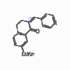 COc1ccc2c(c1)C(=O)/C(=C\c1ccncc1)CC2